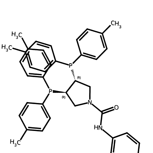 Cc1ccc(P(c2ccc(C)cc2)[C@@H]2CN(C(=O)Nc3ccccc3)C[C@H]2P(c2ccc(C)cc2)c2ccc(C)cc2)cc1